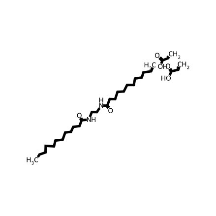 C=CC(=O)O.C=CC(=O)O.CCCCCCCCCCCC(=O)NCCNC(=O)CCCCCCCCCCC